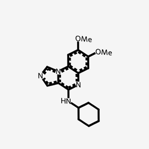 COc1cc2nc(NC3CCCCC3)c3cncn3c2cc1OC